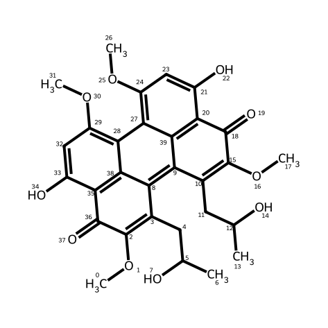 COc1c(CC(C)O)c2c3c(CC(C)O)c(OC)c(=O)c4c(O)cc(OC)c(c5c(OC)cc(O)c(c1=O)c52)c43